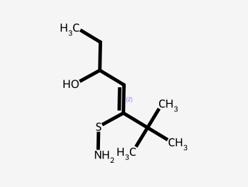 CCC(O)/C=C(\SN)C(C)(C)C